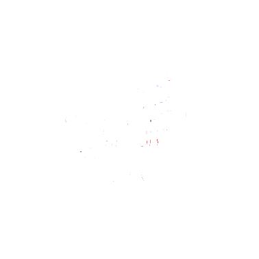 CC(C)OC(=O)[C@H](C)NP(=O)(OC[C@H]1O[C@@H](n2ccc(=O)[nH]c2=O)[C@@](O)(C#CC(F)(F)F)[C@@H]1O)Oc1ccccc1